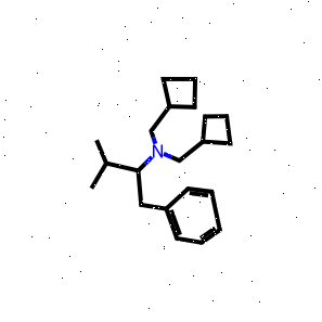 CC(C)C(Cc1ccccc1)N(CC1CCC1)CC1CCC1